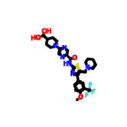 COc1ccc(-c2nc(NC(=O)c3cnc(N4CCC(C(O)O)CC4)cn3)sc2CN2CCCCC2)cc1C(F)(F)F